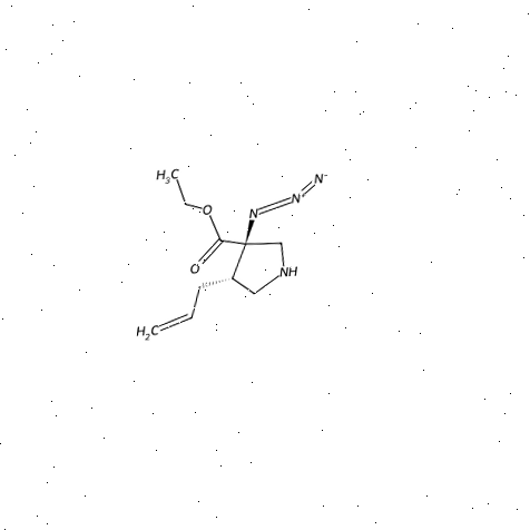 C=CC[C@H]1CNC[C@@]1(N=[N+]=[N-])C(=O)OCC